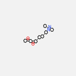 c1ccc(-c2nc3ccccc3n2-c2ccc(-c3ccc4cc(-c5ccc6oc7cc8c(cc7c6c5)oc5ccccc58)ccc4c3)cc2)cc1